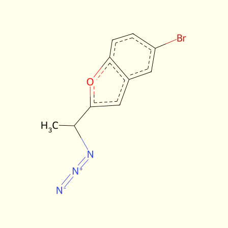 CC(N=[N+]=[N-])c1cc2cc(Br)ccc2o1